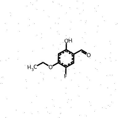 CCOc1cc(O)c(C=O)cc1F